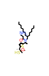 C=C(c1ccc([C@@H](C)C(C)(S)OC)s1)N(CC(CCCCCC)CCCCCCCC)C(=O)CCN